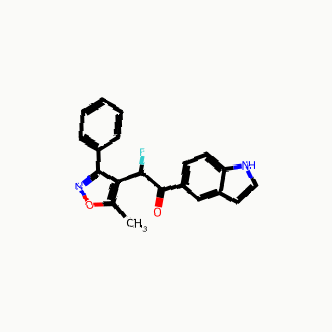 Cc1onc(-c2ccccc2)c1C(F)C(=O)c1ccc2[nH]ccc2c1